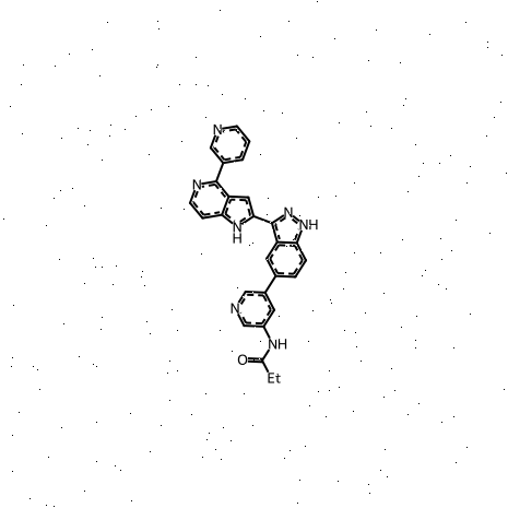 CCC(=O)Nc1cncc(-c2ccc3[nH]nc(-c4cc5c(-c6cccnc6)nccc5[nH]4)c3c2)c1